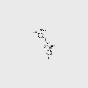 COc1cc(CCNC(=O)[C@H](O)c2ccc(Br)cc2)ccc1O